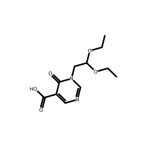 CCOC(Cn1cncc(C(=O)O)c1=O)OCC